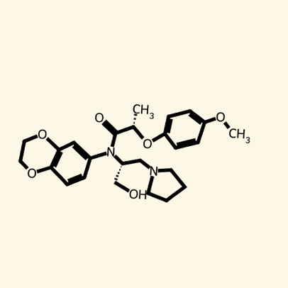 COc1ccc(O[C@@H](C)C(=O)N(c2ccc3c(c2)OCCO3)[C@@H](CO)CN2CCCC2)cc1